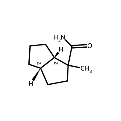 CC1(C(N)=O)CC[C@@H]2CCC[C@@H]21